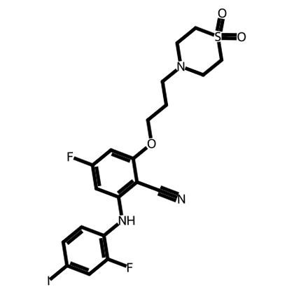 N#Cc1c(Nc2ccc(I)cc2F)cc(F)cc1OCCCN1CCS(=O)(=O)CC1